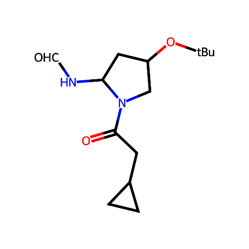 CC(C)(C)OC1CC(NC=O)N(C(=O)CC2CC2)C1